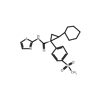 CS(=O)(=O)c1ccc([C@]2(C(=O)Nc3nccs3)CC2C2CCCCC2)cc1